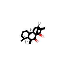 C=C1C(=O)C23CC[C@@H](CC2[C@]2(CC)CCC[C@@](C)(CC)C12)C(=C)C3=O